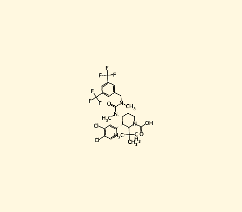 CN(Cc1cc(C(F)(F)F)cc(C(F)(F)F)c1)C(=O)N(C)[C@@H]1CCN(C(=O)O)C(C(C)(C)C)[C@@H]1c1ccc(Cl)c(Cl)c1